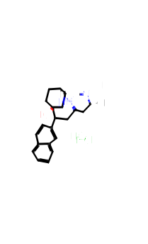 C[C@H](CC(=N)CC(c1ccc2ccccc2c1)C1(O)CCCCC1)N(C)C.Cl.Cl